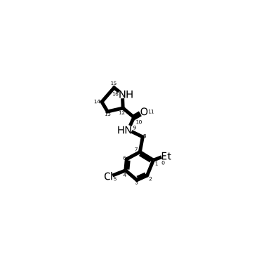 CCc1ccc(Cl)cc1CNC(=O)C1CCCN1